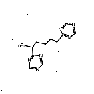 CCCC(CCCCc1ncncn1)c1ncncn1